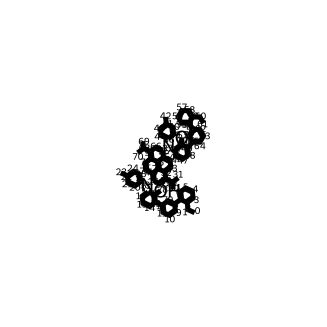 CCc1ccccc1-c1cccc(-c2cccc(N(c3ccc(C)cc3)c3cc(C(C)C)c4ccc5c(N(c6ccc(C)cc6)c6cccc7c6oc6c(-c8ccccc8CC)cccc67)cc(C(C)C)c6ccc3c4c65)c2O)c1